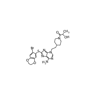 CC(O)C(=O)N1CCC(CCn2cnc(N)c3nc(Sc4cc5c(cc4Br)OCCO5)nc2-3)CC1